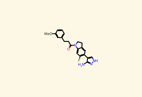 COc1cccc(CCC(=O)N2CCc3cc(-c4c[nH]nc4N)c(F)cc32)c1